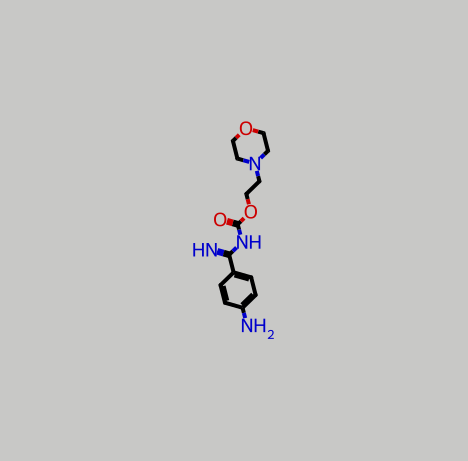 N=C(NC(=O)OCCN1CCOCC1)c1ccc(N)cc1